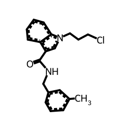 Cc1cccc(CNC(=O)c2cn(CCCCl)c3ccccc23)c1